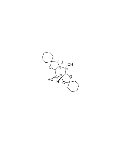 O[C@@H]1C2OC3(CCCCC3)O[C@@H]2[C@@H](O)C2OC3(CCCCC3)O[C@H]21